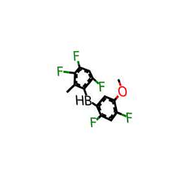 COc1cc(Bc2c(F)cc(F)c(F)c2C)c(F)cc1F